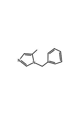 Cc1cncn1Cc1ccccc1